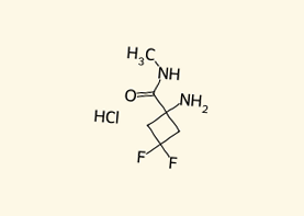 CNC(=O)C1(N)CC(F)(F)C1.Cl